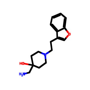 NCC1(O)CCN(CCc2coc3ccccc23)CC1